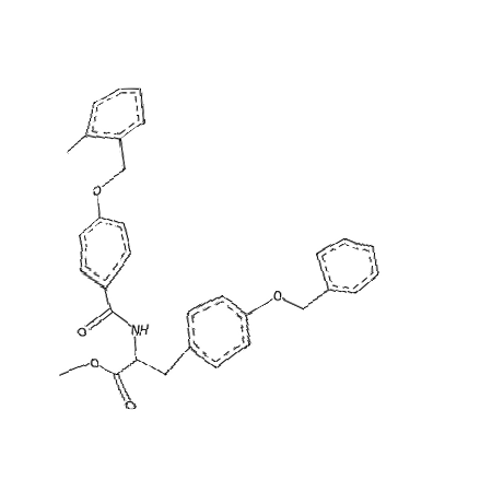 COC(=O)C(Cc1ccc(OCc2ccccc2)cc1)NC(=O)c1ccc(OCc2ccccc2C)cc1